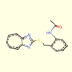 CC(=O)Nc1ccccc1CSc1nc2cccccc-2n1